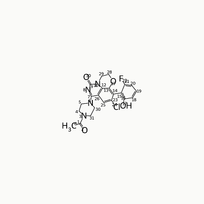 CC(=O)N1CCN(c2nc(=O)n3c4c(c(-c5c(O)cccc5F)c(Cl)cc24)OCC3)CC1